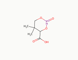 CC1(C)CO[PH](=O)OC1C(=O)O